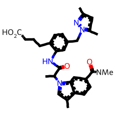 CNC(=O)c1ccc2c(C)cn(C(C)C(=O)Nc3cc(Cn4nc(C)cc4C)ccc3CCCC(=O)O)c2c1